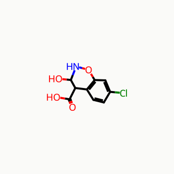 O=C(O)C1c2ccc(Cl)cc2ONC1O